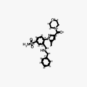 Cc1cc(C(=O)N2CCOCC2)nn1-c1ccc(S(N)(=O)=O)cc1CNCc1ccccc1